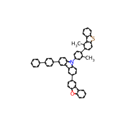 Cc1cc(-n2c3ccc(-c4ccc(-c5ccccc5)cc4)cc3c3cc(-c4ccc5oc6ccccc6c5c4)ccc32)ccc1-c1ccc2sc3ccccc3c2c1C